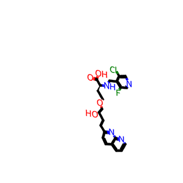 O=C(O)[C@H](CCOC[C@@H](O)CCc1ccc2cccnc2n1)NCc1c(F)cncc1Cl